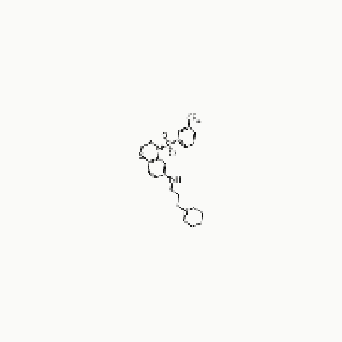 O=S(=O)(c1cccc(C(F)(F)F)c1)N1CCSc2ccc(NCCCN3CCCCC3)cc21